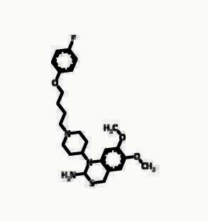 COc1cc2c(cc1OC)N(C1CCN(CCCCOc3ccc(F)cc3)CC1)C(N)SC2